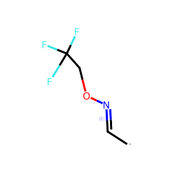 [CH2]/C=N/OCC(F)(F)F